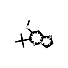 COc1cc2nccn2nc1C(C)(C)C